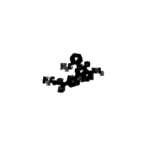 CCOC(=O)c1coc(-c2cn(-c3ccccc3C)c(=O)c3c(N)n[nH]c23)n1